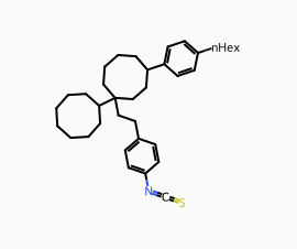 CCCCCCc1ccc(C2CCCCC(CCc3ccc(N=C=S)cc3)(C3CCCCCCC3)CC2)cc1